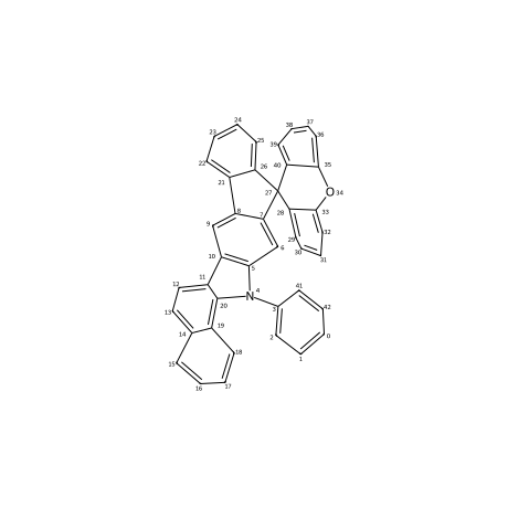 c1ccc(-n2c3cc4c(cc3c3ccc5ccccc5c32)-c2ccccc2C42c3ccccc3Oc3ccccc32)cc1